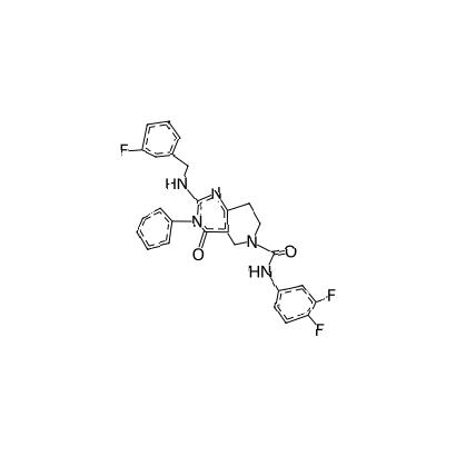 O=C(Nc1ccc(F)c(F)c1)N1CCc2nc(NCc3cccc(F)c3)n(-c3ccccc3)c(=O)c2C1